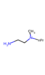 CCCN(C)CCN